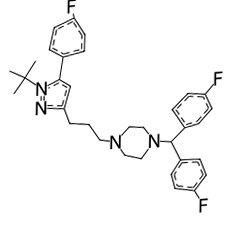 CC(C)(C)n1nc(CCCN2CCN(C(c3ccc(F)cc3)c3ccc(F)cc3)CC2)cc1-c1ccc(F)cc1